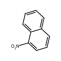 O=[N+]([O-])c1cccc2cc[c]cc12